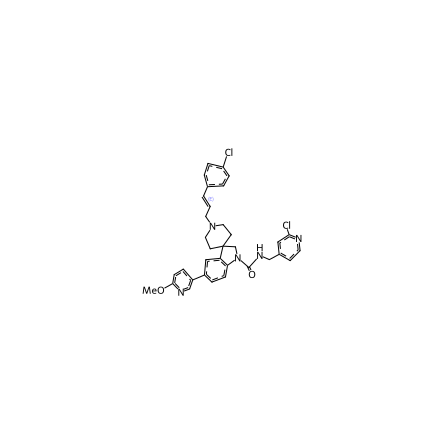 COc1ccc(-c2ccc3c(c2)C2(CCN(C/C=C/c4ccc(Cl)cc4)CC2)CN3C(=O)NCc2ccnc(Cl)c2)cn1